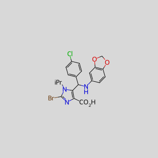 CC(C)n1c(Br)nc(C(=O)O)c1C(Nc1ccc2c(c1)OCO2)c1ccc(Cl)cc1